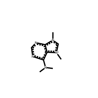 CN(C)c1ncnc2c1[n+](C)cn2C